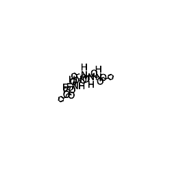 O=C(CNC(=O)OCc1ccccc1)NCC(=O)N[C@@H](Cc1ccccc1)C(=O)NCC(=O)NCOC(C(=O)OCc1ccccc1)C(F)(F)F